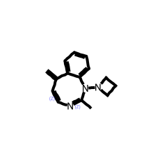 C=C1/C=C\N=C(\C)N(N2CCC2)c2ccccc21